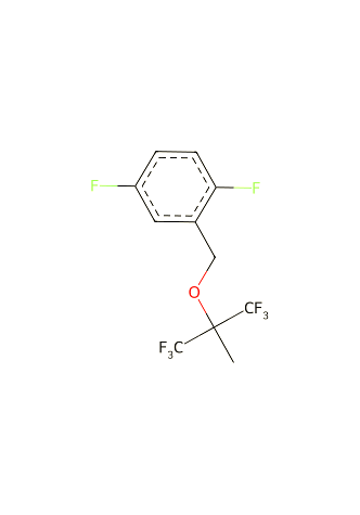 CC(OCc1cc(F)ccc1F)(C(F)(F)F)C(F)(F)F